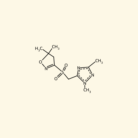 Cc1nc(CS(=O)(=O)C2=NOC(C)(C)C2)n(C)n1